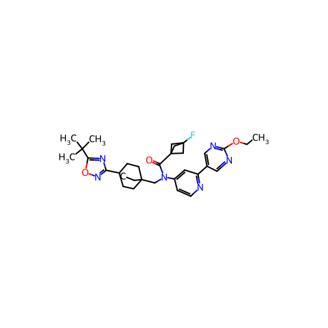 CCOc1ncc(-c2cc(N(CC34CCC(c5noc(C(C)(C)C)n5)(CC3)CC4)C(=O)C34CC(F)(C3)C4)ccn2)cn1